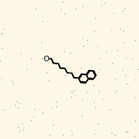 [O]CCCCCCCCc1ccc2ccccc2c1